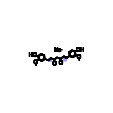 COc1cc(/C=C/C(=O)CC(=O)/C=C/c2ccc(O)c(OC)c2)ccc1O.[Na]